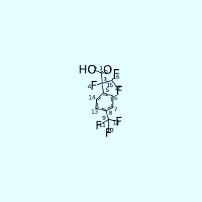 O=C(O)C(F)(c1ccc(C(F)(F)F)cc1)C(F)F